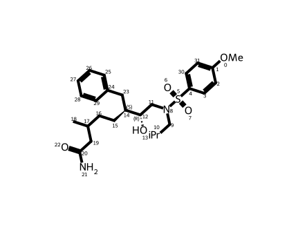 COc1ccc(S(=O)(=O)N(CC(C)C)C[C@H](O)[C@@H](CCC(C)CC(N)=O)Cc2ccccc2)cc1